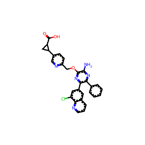 Nc1nc(-c2ccccc2)c(-c2cc(Cl)c3ncccc3c2)nc1OCc1ccc(C2CC2C(=O)O)cn1